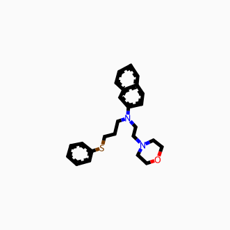 c1ccc(SCCCN(CCN2CCOCC2)c2ccc3ccccc3c2)cc1